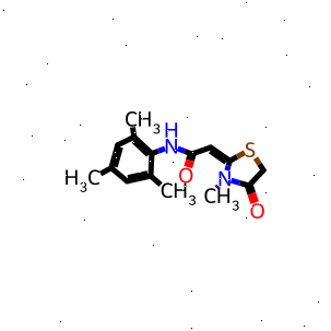 Cc1cc(C)c(NC(=O)C=C2SCC(=O)N2C)c(C)c1